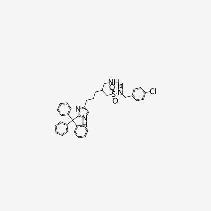 NCC(CCCc1c[nH]c(C(c2ccccc2)(c2ccccc2)c2ccccc2)n1)CS(=O)(=O)NCc1ccc(Cl)cc1